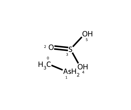 C[AsH2].O=S(O)O